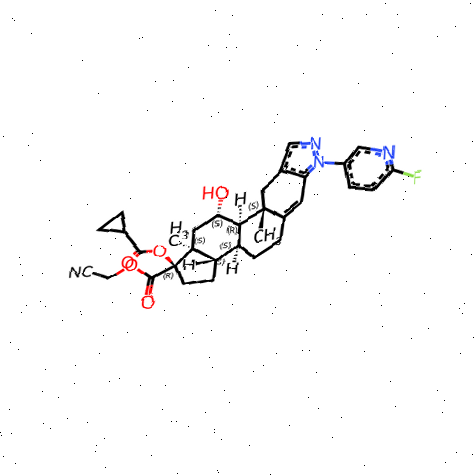 C[C@]12C[C@H](O)[C@@H]3[C@@H](CCC4=Cc5c(cnn5-c5ccc(F)nc5)C[C@]43C)[C@@H]1CC[C@]2(OC(=O)C1CC1)C(=O)OCC#N